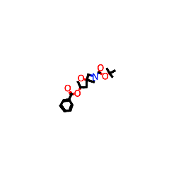 CC(C)(C)OC(=O)N1CC2(CC(OC(=O)c3ccccc3)CO2)C1